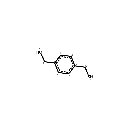 OCc1ccc(CS)cc1